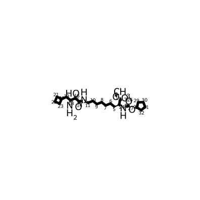 COC(=O)[C@H](CCCCCCCNC(=O)C(O)C(N)CC1CCC1)NC(=O)OC1CCCC1